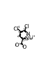 O=C([O-])c1cc(Cl)c(Cl)nn1.[Li+]